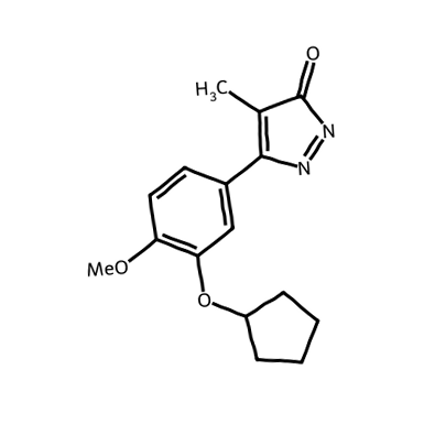 COc1ccc(C2=C(C)C(=O)N=N2)cc1OC1CCCC1